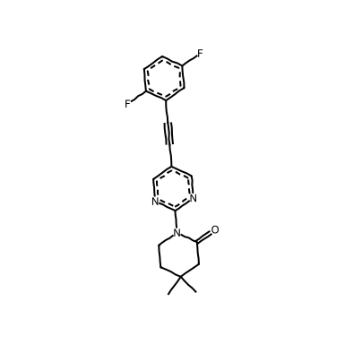 CC1(C)CCN(c2ncc(C#Cc3cc(F)ccc3F)cn2)C(=O)C1